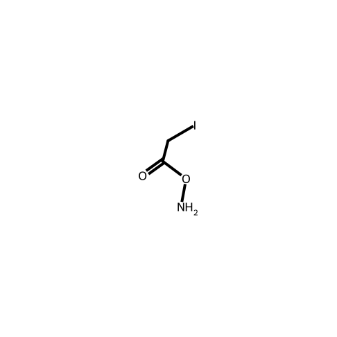 NOC(=O)CI